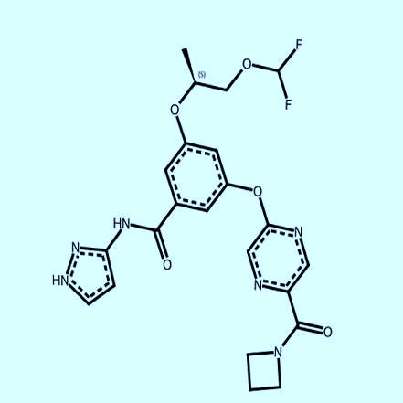 C[C@@H](COC(F)F)Oc1cc(Oc2cnc(C(=O)N3CCC3)cn2)cc(C(=O)Nc2cc[nH]n2)c1